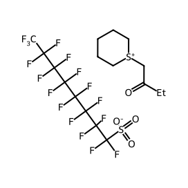 CCC(=O)C[S+]1CCCCC1.O=S(=O)([O-])C(F)(F)C(F)(F)C(F)(F)C(F)(F)C(F)(F)C(F)(F)C(F)(F)C(F)(F)F